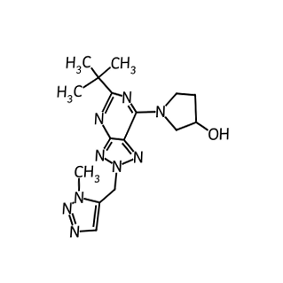 Cn1nncc1Cn1nc2nc(C(C)(C)C)nc(N3CCC(O)C3)c2n1